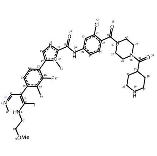 C/N=C\C(=C(\C)NCCOC)c1ccc(-c2cnc(C(=O)Nc3ccc(C(=O)N4CCN(C(=O)C5CCNCC5)CC4)c(Cl)c3)n2C)c(F)c1C